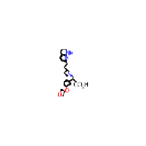 O=C(O)CC(CN1CCC(CCc2ccc3c(n2)NCCC3)C1)c1cccc(OC2COC2)c1